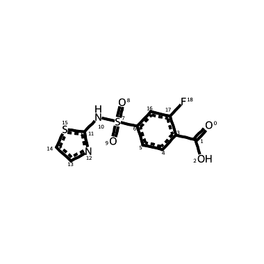 O=C(O)c1ccc(S(=O)(=O)Nc2nccs2)cc1F